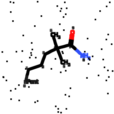 CCCCCCCCC(C)(C)C(N)=O